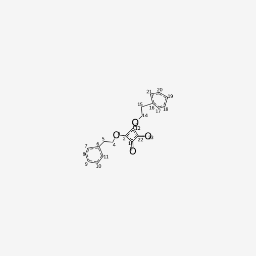 O=c1c(OCCc2ccccc2)c(OCCc2ccccc2)c1=O